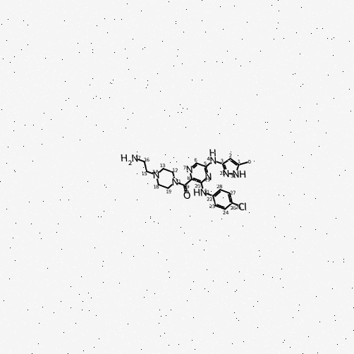 Cc1cc(Nc2cnc(C(=O)N3CCN(CCN)CC3)c(Nc3ccc(Cl)cc3)n2)n[nH]1